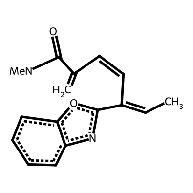 C=C(/C=C\C(=C/C)c1nc2ccccc2o1)C(=O)NC